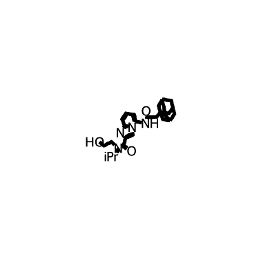 CC(C)N(CCO)C(=O)c1cn2c(NC(=O)CC34CC5CC(CC(C5)C3)C4)cccc2n1